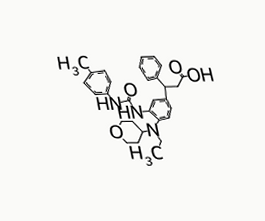 CCN(c1ccc(C(CC(=O)O)c2ccccc2)cc1NC(=O)Nc1ccc(C)cc1)C1CCOCC1